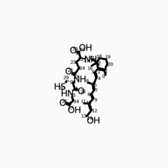 CC1=C(/C=C/C(C)=C/C=C/C(C)=C/CO)C(C)(C)CCC1.N[C@@H](CCC(=O)N[C@@H](CS)C(=O)NCC(=O)O)C(=O)O